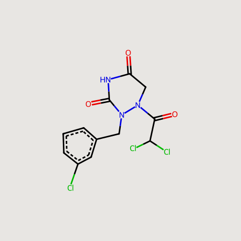 O=C1CN(C(=O)C(Cl)Cl)N(Cc2cccc(Cl)c2)C(=O)N1